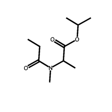 CCC(=O)N(C)C(C)C(=O)OC(C)C